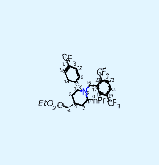 CCC[C@H]1C[C@H](CC(=O)OCC)C[C@H](C2C=CC(C(F)(F)F)=CC2)N1Cc1cc(C(F)(F)F)ccc1C(F)(F)F